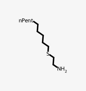 CCCCCCCCCCSCCN